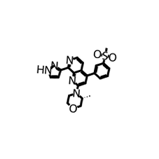 C[C@@H]1COCCN1c1cc(-c2cccc(S(C)(=O)=O)c2)c2ccnc(-c3cc[nH]n3)c2n1